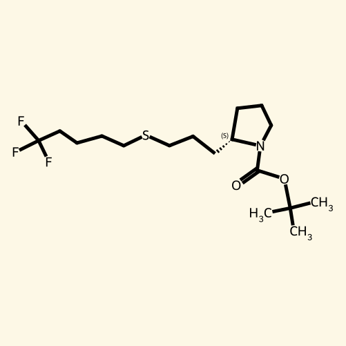 CC(C)(C)OC(=O)N1CCC[C@H]1CCCSCCCCC(F)(F)F